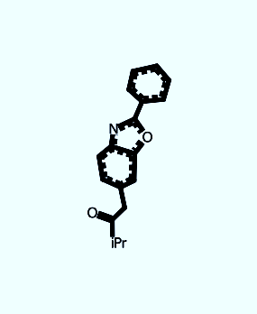 CC(C)C(=O)Cc1ccc2nc(-c3ccccc3)oc2c1